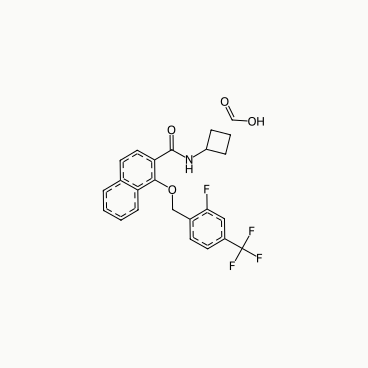 O=C(NC1CCC1)c1ccc2ccccc2c1OCc1ccc(C(F)(F)F)cc1F.O=CO